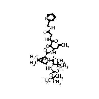 C=CCC(NC(=O)[C@@H]1C2C(CN1C(=O)[C@@H](NC(=O)OC(C)(C)C)C(C)(C)C)C2(C)C)C(=O)C(=O)NCC(=O)NCc1ccccn1